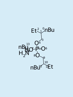 CCCCC(CC)COP(=O)(O)OCC(CC)CCCC.CCCCN